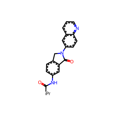 CC(C)C(=O)Nc1ccc2c(c1)C(=O)N(c1ccc3ncccc3c1)C2